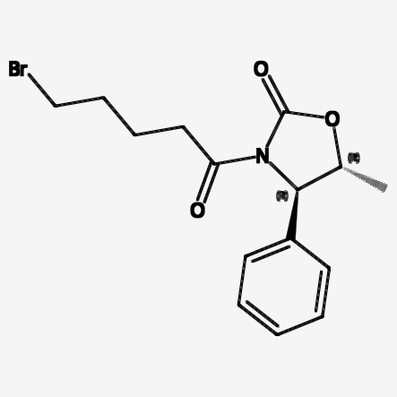 C[C@H]1OC(=O)N(C(=O)CCCCBr)[C@@H]1c1ccccc1